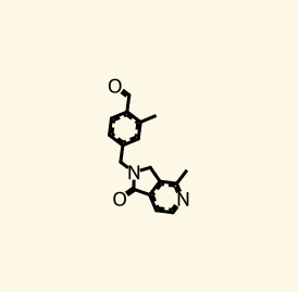 Cc1cc(CN2Cc3c(ccnc3C)C2=O)ccc1C=O